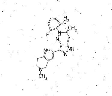 C=C1C=c2[nH]nc(-c3cnc4c(c3)CN(C)CC4)c2=NN1c1c(C)cccc1F